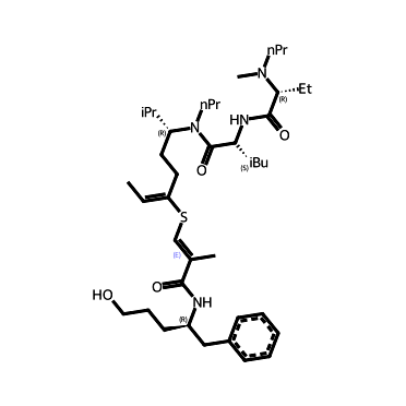 CC=C(CC[C@H](C(C)C)N(CCC)C(=O)C(NC(=O)[C@@H](CC)N(C)CCC)[C@@H](C)CC)S/C=C(\C)C(=O)N[C@H](CCCO)Cc1ccccc1